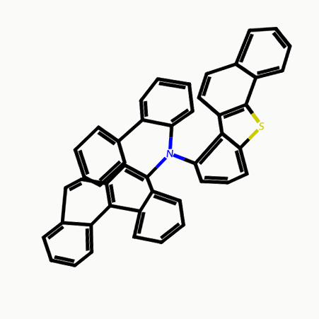 c1ccc(-c2ccccc2N(c2cc3ccc4ccccc4c3c3ccccc23)c2cccc3sc4c5ccccc5ccc4c23)cc1